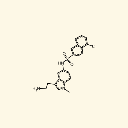 Cn1cc(CCN)c2cc(NS(=O)(=O)c3ccc4c(Cl)cccc4c3)ccc21